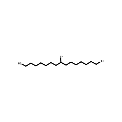 SCCCCCCCC(S)CCCCCCCS